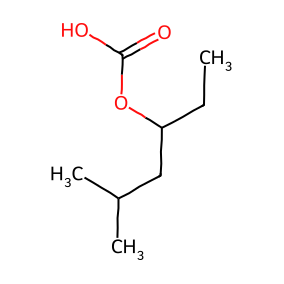 CCC(CC(C)C)OC(=O)O